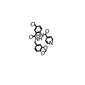 O=C(Nc1ccc(Cl)cc1C(=O)NCc1ccc2c(c1)OCO2)c1ccncc1